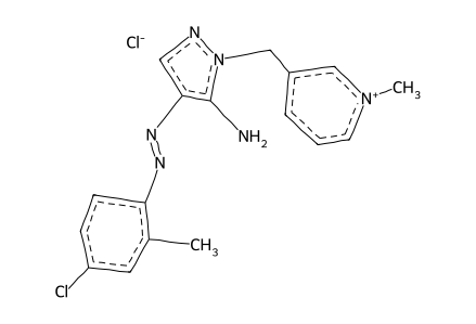 Cc1cc(Cl)ccc1/N=N/c1cnn(Cc2ccc[n+](C)c2)c1N.[Cl-]